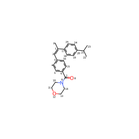 CC(=Cc1ccc(C(=O)N2CCOCC2)cc1)c1ccc(C(C)C)cc1